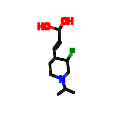 CC(C)N1CCC(/C=C/C(O)O)C(F)C1